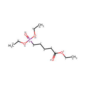 CCOC(=O)CCCCP(=O)(OCC)OCC